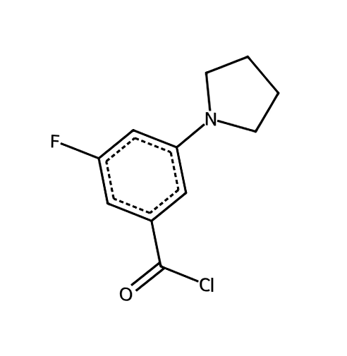 O=C(Cl)c1cc(F)cc(N2CCCC2)c1